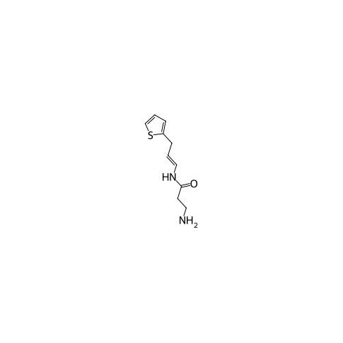 NCCC(=O)NC=CCc1cccs1